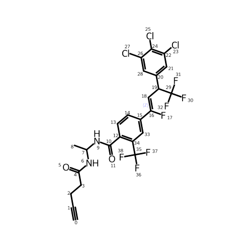 C#CCCC(=O)NC(C)NC(=O)c1ccc(/C(F)=C/C(c2cc(Cl)c(Cl)c(Cl)c2)C(F)(F)F)cc1C(F)(F)F